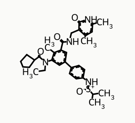 CCN(C(=O)C1CCCC1)c1cc(-c2ccc(N[S+]([O-])C(C)C)cc2)cc(C(=O)NCc2c(C)cc(C)[nH]c2=O)c1C